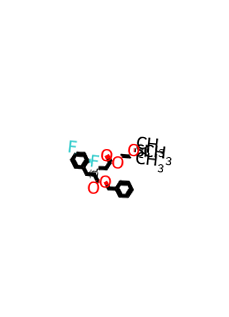 C[Si](C)(C)OCCOC(=O)CC[C@@H](Cc1ccc(F)cc1F)C(=O)OCc1ccccc1